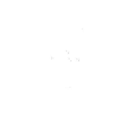 Cc1cc(-c2ccccc2)c(O)c(-n2nc3ccc(Cl)cc3n2)c1